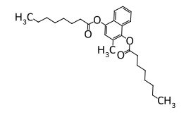 CCCCCCCC(=O)Oc1cc(C)c(OC(=O)CCCCCCC)c2ccccc12